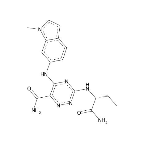 CC[C@@H](Nc1nnc(C(N)=O)c(Nc2ccc3ccn(C)c3c2)n1)C(N)=O